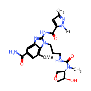 CCn1nc(C)cc1C(=O)Nc1nc2cc(C(N)=O)cc(OC)c2n1CCCNC(=O)N(C)[C@H]1COC[C@@H]1O